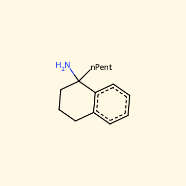 CCCCCC1(N)CCCc2ccccc21